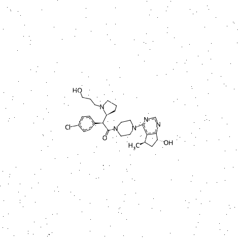 C[C@@H]1C[C@@H](O)c2ncnc(N3CCN(C(=O)[C@@H](c4ccc(Cl)cc4)[C@@H]4CCCN4CCCO)CC3)c21